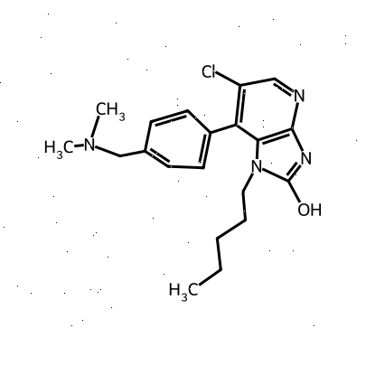 CCCCCn1c(O)nc2ncc(Cl)c(-c3ccc(CN(C)C)cc3)c21